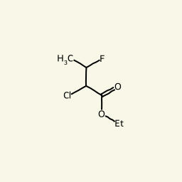 CCOC(=O)C(Cl)C(C)F